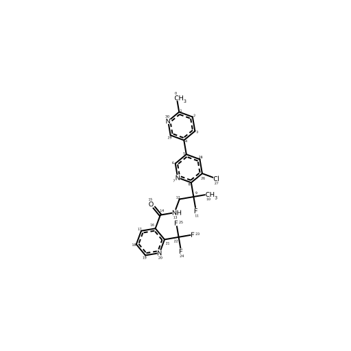 Cc1ccc(-c2cnc(C(C)(F)CNC(=O)c3cccnc3C(F)(F)F)c(Cl)c2)cn1